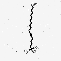 O=[C]CCCCCCCC=CCC#CCCCCC([N+](=O)[O-])([N+](=O)[O-])[N+](=O)[O-]